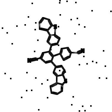 N#Cc1ccc(-c2c(-c3ccc4sc5ccccc5c4c3)cc(C#N)cc2-c2ccc3sc4ccccc4c3c2)cc1